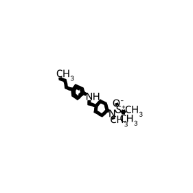 CCCCc1ccc(NCC2CCC(N(C)[S+]([O-])C(C)C)CC2)cc1